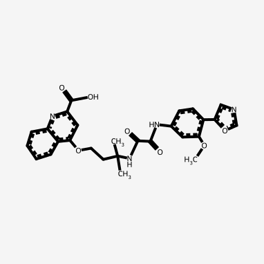 COc1cc(NC(=O)C(=O)NC(C)(C)CCOc2cc(C(=O)O)nc3ccccc23)ccc1-c1cnco1